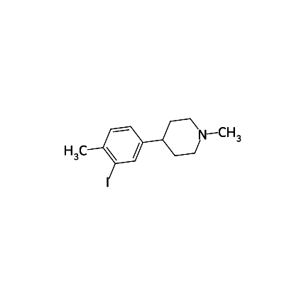 Cc1ccc(C2CCN(C)CC2)cc1I